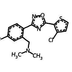 CN(C)Cc1cc(F)ccc1-c1noc(-c2sccc2Cl)n1